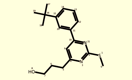 CSc1nc(CCCO)cc(-c2cccc(C(C)(C)C)c2)n1